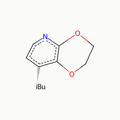 CC[C@@H](C)c1ccnc2c1OCCO2